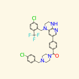 O=C(c1ccc(-c2cnc3c(c2)N(Cc2cc(Cl)ccc2C(F)(F)F)CCN3)cc1)N1CCN(Cc2ccc(Cl)cc2)CC1